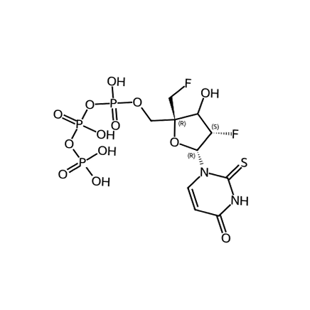 O=c1ccn([C@@H]2O[C@](CF)(COP(=O)(O)OP(=O)(O)OP(=O)(O)O)C(O)[C@@H]2F)c(=S)[nH]1